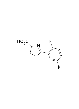 O=C(O)C1CCC(c2cc(F)ccc2F)=N1